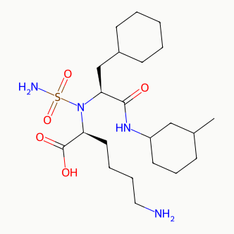 CC1CCCC(NC(=O)[C@H](CC2CCCCC2)N([C@@H](CCCCN)C(=O)O)S(N)(=O)=O)C1